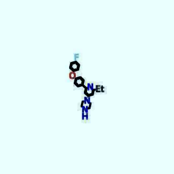 CCc1cc(N2CCNCC2)cc(-c2ccc(Oc3ccc(F)cc3)cc2)n1